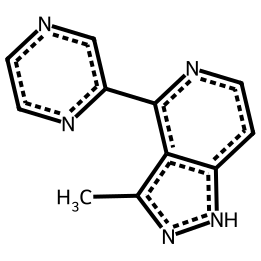 Cc1n[nH]c2ccnc(-c3cnccn3)c12